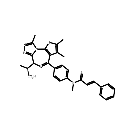 Cc1sc2c(c1C)C(c1ccc(N(C)C(=O)C=Cc3ccccc3)cc1)=NC([C@H](C)C(=O)O)c1nnc(C)n1-2